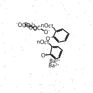 CCCCCCCCc1ccccc1[O-].CCCCCCCCc1ccccc1[O-].O=C([O-])[O-].O=C([O-])[O-].[Ba+2].[Ba+2].[Ba+2]